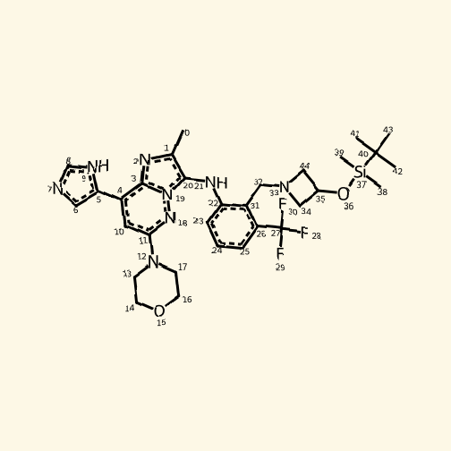 Cc1nc2c(-c3cnc[nH]3)cc(N3CCOCC3)nn2c1Nc1cccc(C(F)(F)F)c1CN1CC(O[Si](C)(C)C(C)(C)C)C1